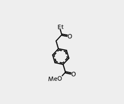 CCC(=O)Cc1ccc(C(=O)OC)cc1